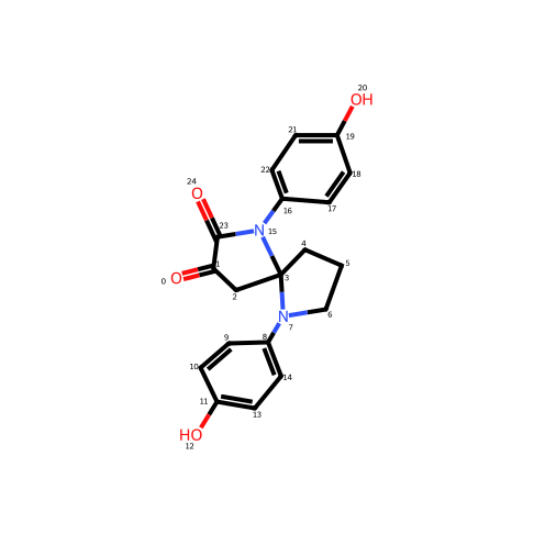 O=C1CC2(CCCN2c2ccc(O)cc2)N(c2ccc(O)cc2)C1=O